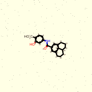 O=C(Nc1ccc(C(=O)O)c(O)c1)c1cc2c3c(c1)CCCC3CCC2